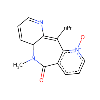 CCCC1=C2N=CC=CC2N(C)C(=O)c2ccc[n+]([O-])c21